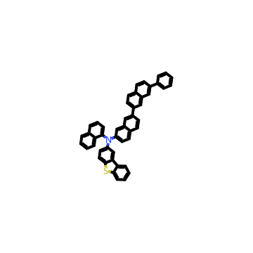 c1ccc(-c2ccc3ccc(-c4ccc5ccc(N(c6ccc7sc8ccccc8c7c6)c6cccc7ccccc67)cc5c4)cc3c2)cc1